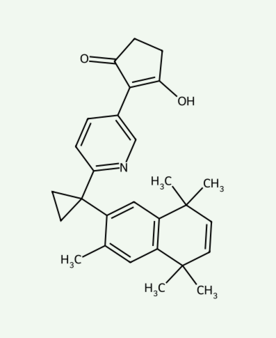 Cc1cc2c(cc1C1(c3ccc(C4=C(O)CCC4=O)cn3)CC1)C(C)(C)C=CC2(C)C